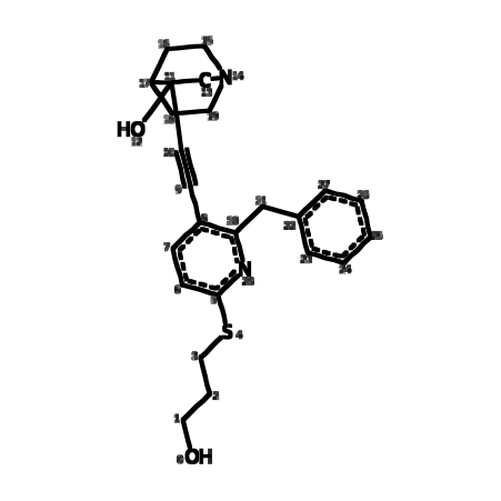 OCCCSc1ccc(C#CC2(O)CN3CCC2CC3)c(Cc2ccccc2)n1